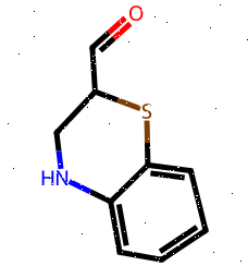 O=CC1CNc2ccccc2S1